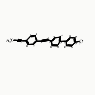 CC#Cc1ccc(C#Cc2ccc(-c3ccc(CC)cc3)cc2)cc1